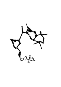 C=C(c1cccc(C=CC(=O)OCC)c1)c1cc2c(cc1C)C(C)(C)CCC2(C)C